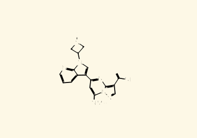 CNc1cc(-c2cn(C3CN(C)C3)c3ncccc23)nc2c(C(N)=O)cnn12